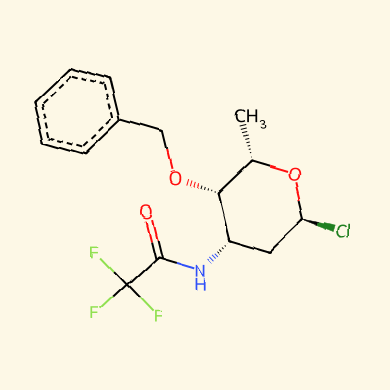 C[C@@H]1O[C@@H](Cl)C[C@H](NC(=O)C(F)(F)F)[C@@H]1OCc1ccccc1